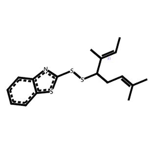 C/C=C(\C)C(CC=C(C)C)SSc1nc2ccccc2s1